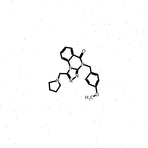 COc1ccc(Cn2c(=O)c3ccccc3n3c(CN4CCCC4)nnc23)cc1